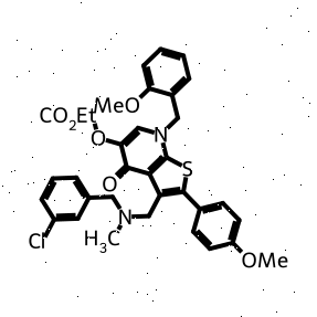 CCOC(=O)Oc1cn(Cc2ccccc2OC)c2sc(-c3ccc(OC)cc3)c(CN(C)Cc3cccc(Cl)c3)c2c1=O